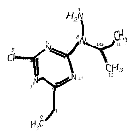 CCc1nc(Cl)nc(N(N)C(C)C)n1